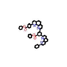 O=C(Oc1ccccc1)c1ccc(C2=NC3c4nc(C5=CC(C(=O)Oc6ccccc6)CC(c6ccc7ccc8ccc(-c9ccccc9)nc8c7n6)=C5)ccc4C=CC3C=C2)cc1